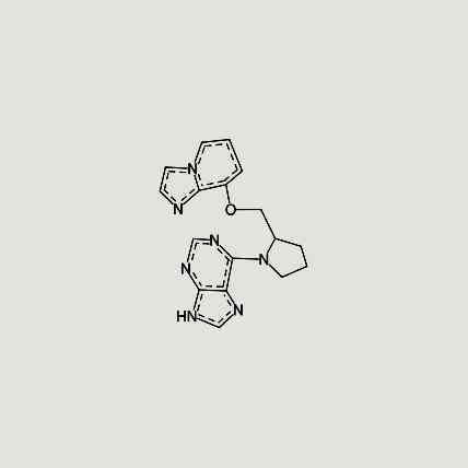 c1cc(OCC2CCCN2c2ncnc3[nH]cnc23)c2nccn2c1